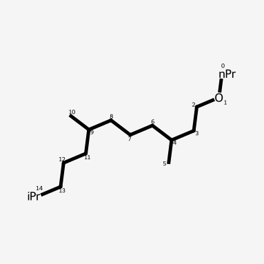 CCCOCCC(C)CCCC(C)CCCC(C)C